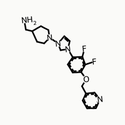 NCC1CCN(N2C=CN(c3ccc(OCc4cccnc4)c(F)c3F)C2)CC1